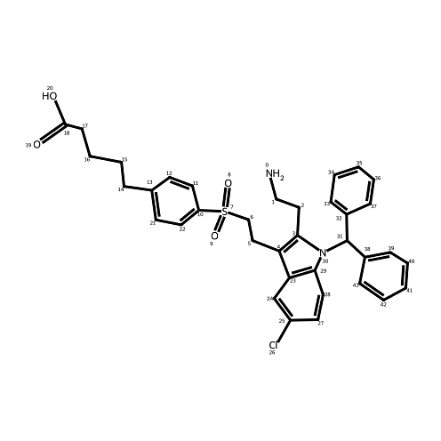 NCCc1c(CCS(=O)(=O)c2ccc(CCCCC(=O)O)cc2)c2cc(Cl)ccc2n1C(c1ccccc1)c1ccccc1